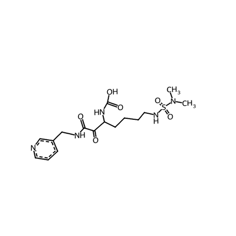 CN(C)S(=O)(=O)NCCCCC(NC(=O)O)C(=O)C(=O)NCc1cccnc1